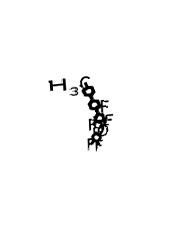 Cc1ccc(-c2ccc(-c3cc(F)c(C(F)(F)Oc4ccc(F)c(F)c4)c(F)c3)c(F)c2)cc1